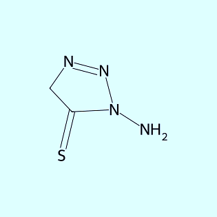 NN1N=NCC1=S